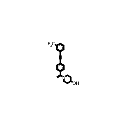 C=C(c1ccc(C#Cc2cccc(C(F)(F)F)c2)cc1)N1CCC(O)CC1